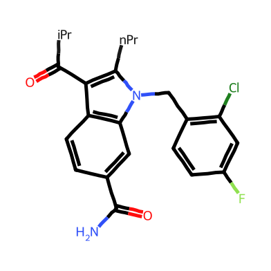 CCCc1c(C(=O)C(C)C)c2ccc(C(N)=O)cc2n1Cc1ccc(F)cc1Cl